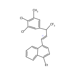 CCc1ccc(/C=C/C(c2cc(C)c(Cl)c(Cl)c2)C(F)(F)F)c2ccccc12